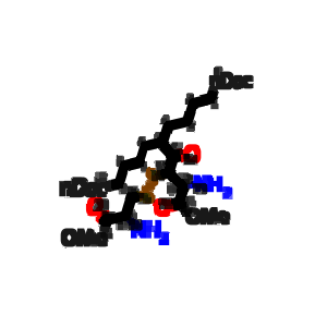 CCCCCCCCCCCCCCC(CCCCCCCCCCCCCC)C(=O)C(SSC[C@H](N)C(=O)OC)[C@H](N)C(=O)OC